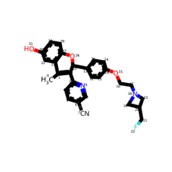 CC1=C(c2ccc(C#N)cn2)C(c2ccc(OCCN3CC(CF)C3)cc2)Oc2ccc(O)cc21